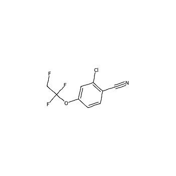 N#Cc1ccc(OC(F)(F)CF)cc1Cl